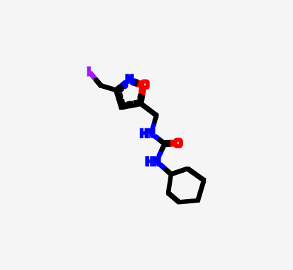 O=C(NCc1cc(CI)no1)NC1CCCCC1